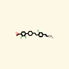 C/C=C/c1ccc(CCC2CCC(c3ccc(C4CO4)c(F)c3F)CC2)c(F)c1